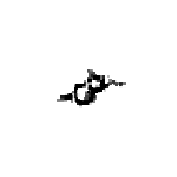 CCCCCN1C=NC2C[N+](=O)CN3N=NNC213